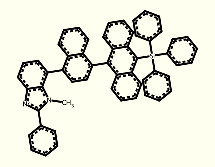 Cn1c(-c2ccccc2)nc2cccc(-c3ccc(-c4c5ccccc5c([Si](c5ccccc5)(c5ccccc5)c5ccccc5)c5ccccc45)c4ccccc34)c21